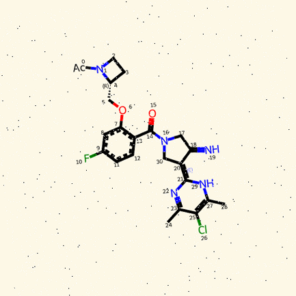 CC(=O)N1CC[C@@H]1COc1cc(F)ccc1C(=O)N1CC(=N)/C(=C2/N=C(C)C(Cl)=C(C)N2)C1